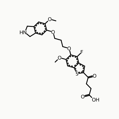 COc1cc2c(cc1OCCCOc1c(OC)cc3sc(C(=O)CCC(=O)O)cc3c1F)CNC2